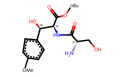 CCCCOC(=O)[C@@H](NC(=O)[C@@H](N)CO)[C@H](O)c1ccc(OC)cc1